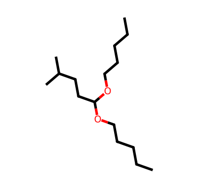 CCCCCOC(CCC(C)C)OCCCCC